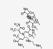 C=C(C)C(N)=O.C=C(C)C(N)=O.CC(=CC(CNCCN)N(C=C(C)C(N)=O)C=C(C)C(N)=O)C(N)=O.CCCOCC